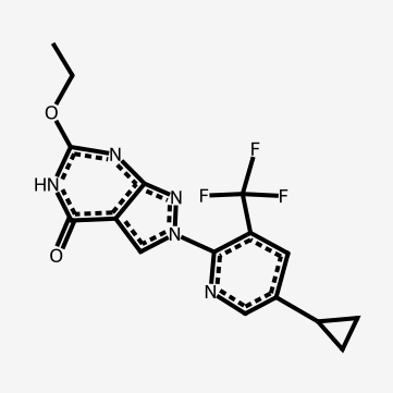 CCOc1nc2nn(-c3ncc(C4CC4)cc3C(F)(F)F)cc2c(=O)[nH]1